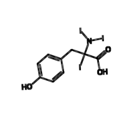 O=C(O)C(I)(Cc1ccc(O)cc1)N(I)I